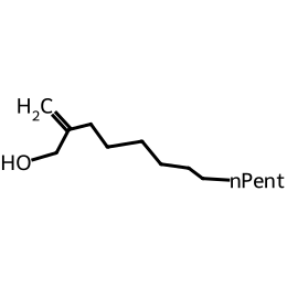 C=C(CO)CCCCCCCCCCC